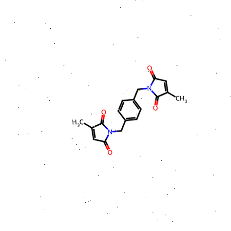 CC1=CC(=O)N(Cc2ccc(CN3C(=O)C=C(C)C3=O)cc2)C1=O